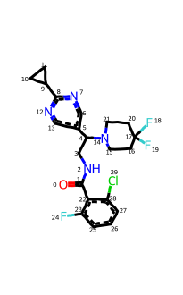 O=C(NCC(c1cnc(C2CC2)nc1)N1CCC(F)(F)CC1)c1c(F)cccc1Cl